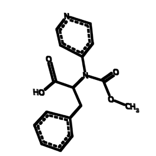 COC(=O)N(c1ccncc1)C(Cc1ccccc1)C(=O)O